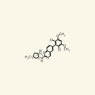 COc1cc(OC)c(Cl)c(-c2ccc3nc(N[C@@H]4C[C@H](C)C[C@@H]4N)ncc3c2)c1Cl